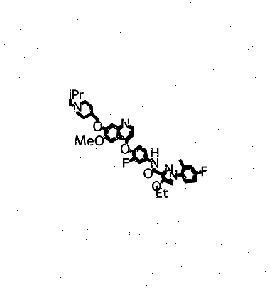 CCOc1cn(-c2ccc(F)cc2C)nc1C(=O)Nc1ccc(Oc2ccnc3cc(OCC4CCN(CC(C)C)CC4)c(OC)cc23)c(F)c1